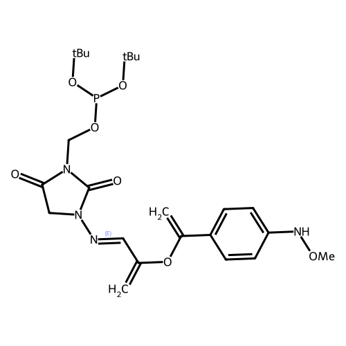 C=C(/C=N/N1CC(=O)N(COP(OC(C)(C)C)OC(C)(C)C)C1=O)OC(=C)c1ccc(NOC)cc1